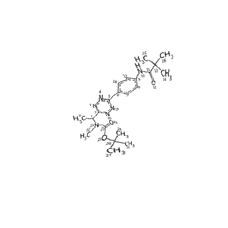 CC(c1nnc(-c2ccc(NC(=O)C(C)(C)C)cc2)nn1)N(C)C(=O)OC(C)(C)C